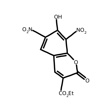 CCOC(=O)c1cc2cc([N+](=O)[O-])c(O)c([N+](=O)[O-])c2oc1=O